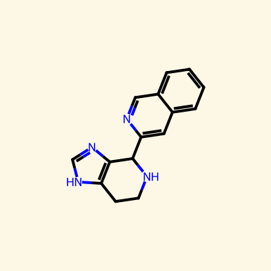 c1ccc2cc(C3NCCc4[nH]cnc43)ncc2c1